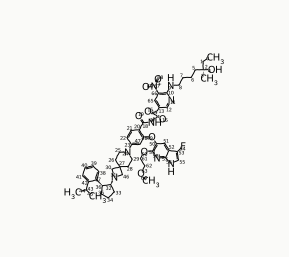 CC[C@@](C)(O)CCCCNc1ncc(S(=O)(=O)NC(=O)c2ccc(N3CCC4(CC3)CN([C@H]3CCC[C@H]3c3ccccc3C(C)C)C4)cc2Oc2cc3c(F)c[nH]c3nc2OCCOC)cc1[N+](=O)[O-]